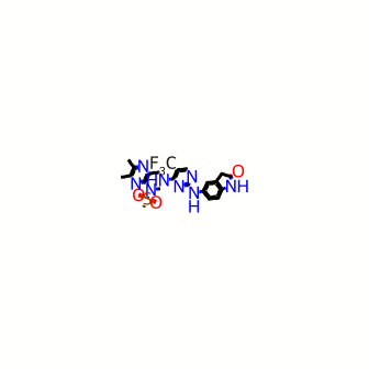 Cc1nc(CNc2nc(Nc3ccc4c(c3)CC(=O)N4)ncc2C(F)(F)F)c(N(C)S(C)(=O)=O)nc1C